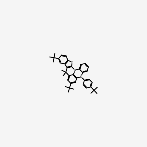 CC(C)(C)c1ccc(N2c3ccccc3B3c4oc5ccc(C(C)(C)C)cc5c4C(C)(C)c4cc(C(C)(C)C)cc2c43)cc1